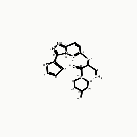 CCC(Sc1ccc2nnc(-c3cccs3)n2n1)C(=O)N1CCC(F)CC1